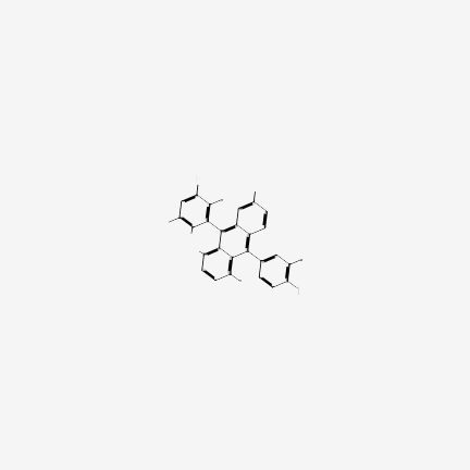 Fc1ccc2c(-c3ccc(F)c(F)c3)c3c(F)ccc(F)c3c(-c3c(F)c(F)cc(F)c3F)c2c1